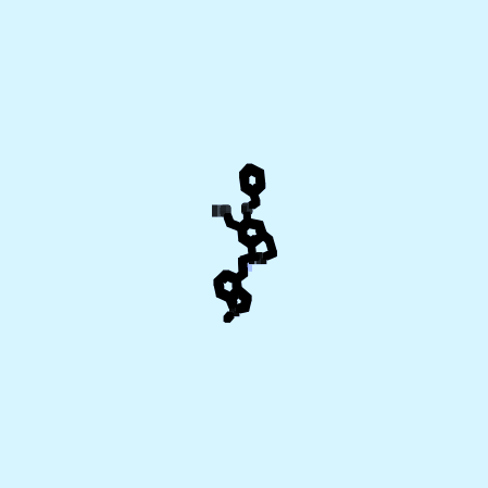 Cn1ccc2c(/C=C/C3NCCc4cc(OCc5ccccc5)c(CO)cc43)cccc21